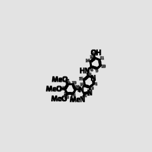 CNc1nc2cnc(Nc3cccc(O)c3)cc2n1-c1cc(OC)c(OC)c(OC)c1